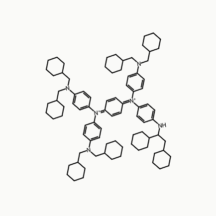 C1=CC(=[N+](c2ccc(N(CC3CCCCC3)CC3CCCCC3)cc2)c2ccc(N(CC3CCCCC3)CC3CCCCC3)cc2)C=CC1=[N+](c1ccc(NC(CC2CCCCC2)C2CCCCC2)cc1)c1ccc(N(CC2CCCCC2)CC2CCCCC2)cc1